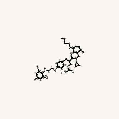 COCCCc1ccc(Cl)c(CN(C(=O)C(CNC(=N)N)Cc2ccc(OCCOc3c(Cl)cc(C)cc3Cl)cc2)C2CC2)c1